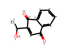 CCC(O)C1=CC(=O)c2ccccc2C1=O